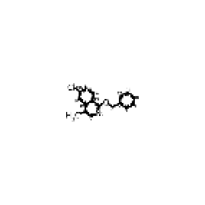 Cc1cnc(OCc2ccccc2)c2cnc(Cl)cc12